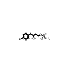 CS(=O)(=O)OCCC(O)Cc1ccc(Cl)cc1